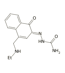 CCNCC1=C/C(=N\NC(N)=O)C(=O)c2ccccc21